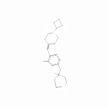 OC1(Cc2ccc(C=C3CCN(C4CCC4)CC3)c(F)c2)CCOCC1